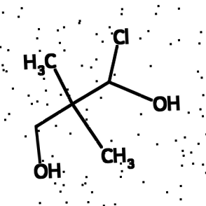 CC(C)(CO)C(O)Cl